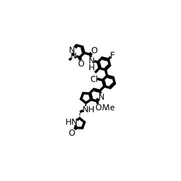 COc1nc(-c2cccc(-c3cc(F)cc(NC(=O)c4ccnn(C)c4=O)c3C)c2Cl)cc2c1[C@@H](NC[C@@H]1CCC(=O)N1)CC2